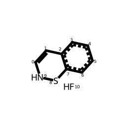 C1=Cc2ccccc2SN1.F